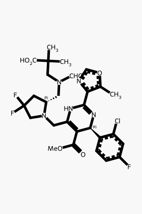 COC(=O)C1=C(CN2CC(F)(F)C[C@@H]2CN(C=O)CC(C)(C)C(=O)O)NC(c2ncoc2C)=N[C@H]1c1ccc(F)cc1Cl